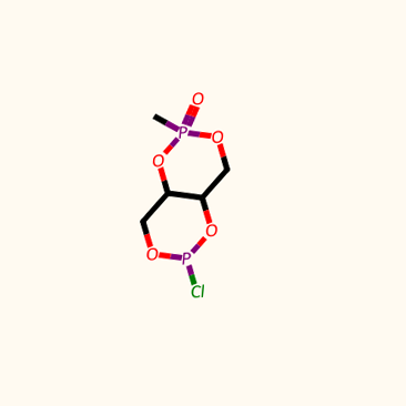 CP1(=O)OCC2OP(Cl)OCC2O1